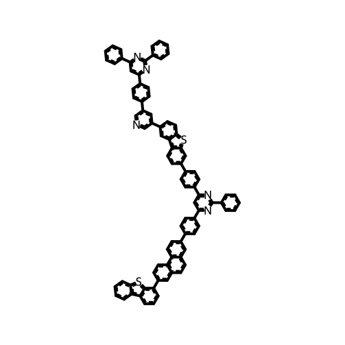 c1ccc(-c2cc(-c3ccc(-c4cncc(-c5ccc6sc7cc(-c8ccc(-c9cc(-c%10ccc(-c%11ccc%12c(ccc%13cc(-c%14cccc%15c%14sc%14ccccc%14%15)ccc%13%12)c%11)cc%10)nc(-c%10ccccc%10)n9)cc8)ccc7c6c5)c4)cc3)nc(-c3ccccc3)n2)cc1